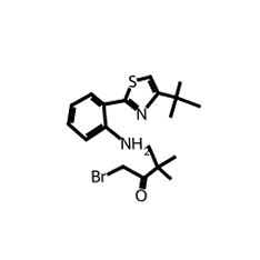 CC(C)(C)C(=O)CBr.CC(C)(C)c1csc(-c2ccccc2N)n1